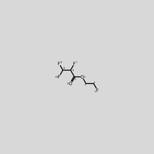 O=C(OCCF)C(F)C(F)F